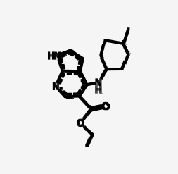 CCOC(=O)c1cnc2[nH]ccc2c1NC1CCC(C)CC1